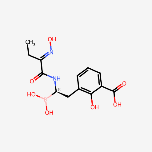 CCC(=NO)C(=O)N[C@@H](Cc1cccc(C(=O)O)c1O)B(O)O